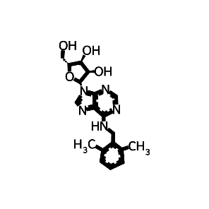 Cc1cccc(C)c1CNc1ncnc2c1ncn2[C@@H]1O[C@H](CO)[C@@H](O)[C@H]1O